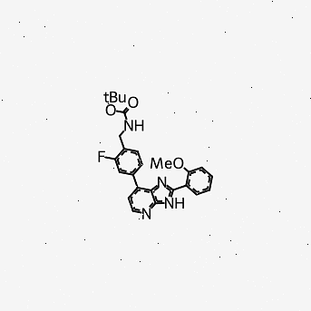 COc1ccccc1-c1nc2c(-c3ccc(CNC(=O)OC(C)(C)C)c(F)c3)ccnc2[nH]1